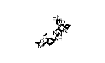 COc1cc(Nc2ncc3c(n2)N(C)C2(CCC2)C(=O)N3CC(F)(F)F)ccc1-c1cnc(C)o1